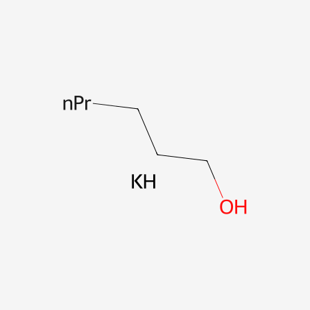 CCCCCCO.[KH]